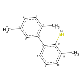 Cc1ccc(C)c(-c2cccc(C)c2S)c1